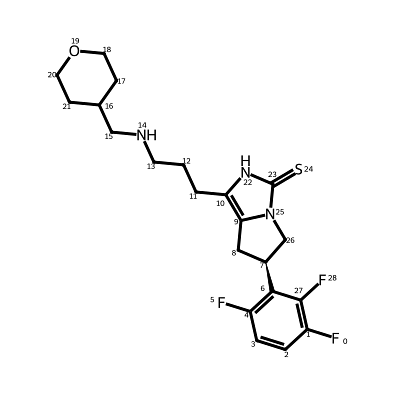 Fc1ccc(F)c([C@H]2Cc3c(CCCNCC4CCOCC4)[nH]c(=S)n3C2)c1F